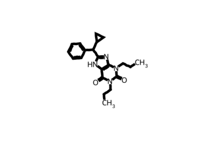 CCCn1c(=O)c2[nH]c(C(c3ccccc3)C3CC3)nc2n(CCC)c1=O